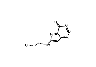 CCCNC1=CC2=NN=NC(=O)C2=N1